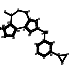 CC1COc2sc(Nc3nccc(C4CC4)n3)nc2-c2cn[nH]c21